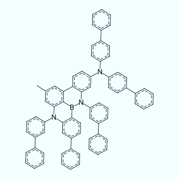 Cc1cc2c3c(c1)N(c1cccc(-c4ccccc4)c1)c1cc(-c4ccccc4)ccc1B3N(c1cccc(-c3ccccc3)c1)c1cc(N(c3ccc(-c4ccccc4)cc3)c3ccc(-c4ccccc4)cc3)ccc1-2